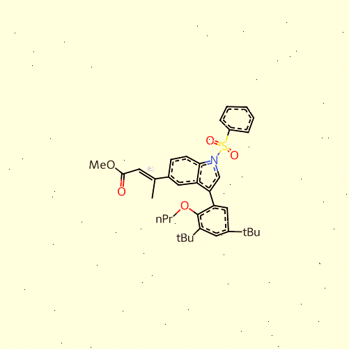 CCCOc1c(-c2cn(S(=O)(=O)c3ccccc3)c3ccc(/C(C)=C/C(=O)OC)cc23)cc(C(C)(C)C)cc1C(C)(C)C